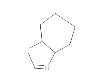 C1=[N+]C2CCCCC2O1